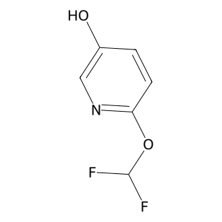 Oc1ccc(OC(F)F)nc1